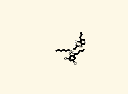 C=CCc1cncc(NC(=O)CSP(=O)(CCCCCC)Oc2c(Cl)cc(Cl)cc2C=CCCC)c1Cl